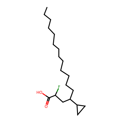 CCCCCCCCCCCCCC(CC(F)C(=O)O)C1CC1